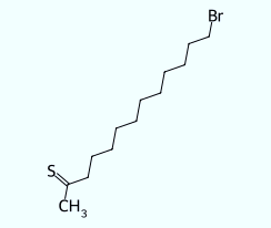 CC(=S)CCCCCCCCCCCBr